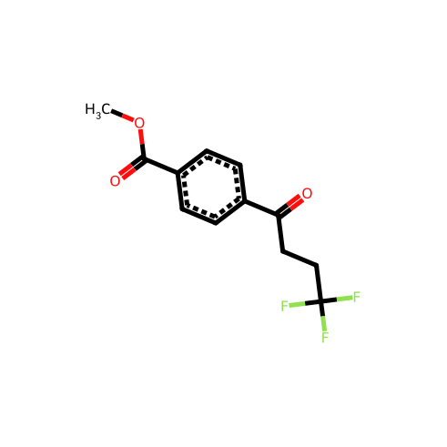 COC(=O)c1ccc(C(=O)CCC(F)(F)F)cc1